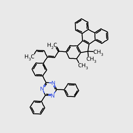 C=C(/C=C(\C=C/C)c1cccc(-c2nc(-c3ccccc3)nc(-c3ccccc3)n2)c1)C1=CC2=C(C(C)C1)C(C)(C)c1c2c2ccccc2c2ccccc12